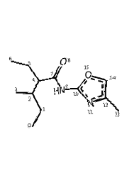 CCC(C)C(CC)C(=O)Nc1nc(C)co1